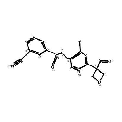 Cc1cc(C2(C=O)COC2)ncc1NC(=O)c1cccc(C#N)c1